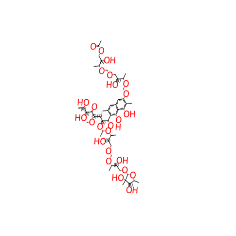 CO[C@H](C(=O)[C@@H](O)[C@@H](C)O)[C@@H]1Cc2cc3cc(OCOC(C)[C@@H](O)COCOC(C)[C@@H](O)COC(C)=O)c(C)c(O)c3c(O)c2C(=O)[C@H]1OC(C)OC(C)[C@@H](O)COCOC(C)[C@H](O)COC1OC(C)[C@@H](O)C1(C)O